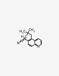 CC(C)(C)Cc1c(N=[N+]=[N-])ccc2ncccc12